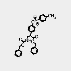 Cc1ccc(S(=O)(=O)Oc2ccc(C(CNC(=O)OCc3ccccc3)C(=O)OCc3ccccc3)cc2)cc1